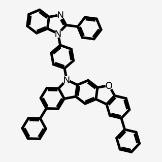 c1ccc(-c2ccc3oc4cc5c(cc4c3c2)c2cc(-c3ccccc3)ccc2n5-c2ccc(-n3c(-c4ccccc4)nc4ccccc43)cc2)cc1